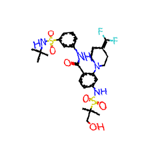 CC(C)(C)NS(=O)(=O)c1cccc(NC(=O)c2ccc(NS(=O)(=O)C(C)(C)CO)cc2N2CCC(=C(F)F)CC2)c1